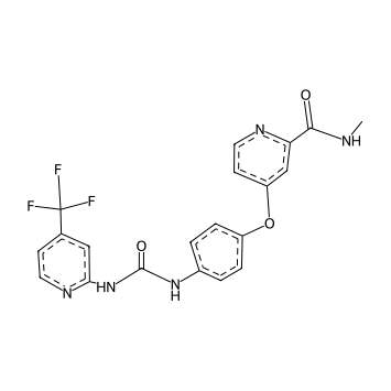 CNC(=O)c1cc(Oc2ccc(NC(=O)Nc3cc(C(F)(F)F)ccn3)cc2)ccn1